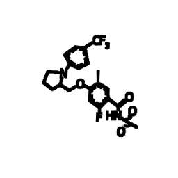 Cc1cc(C(=O)NS(C)(=O)=O)c(F)cc1OCC1CCCN1c1ccc(C(F)(F)F)cc1